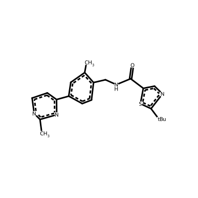 Cc1nccc(-c2ccc(CNC(=O)c3cnc(C(C)(C)C)s3)c(C)c2)n1